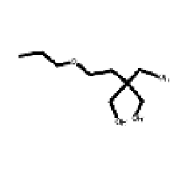 CCCOCCC(CO)(CO)CO